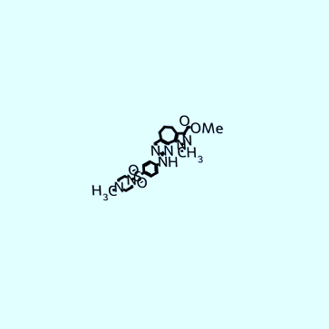 COC(=O)c1nn(C)c2c1CCCc1cnc(Nc3ccc(S(=O)(=O)N4CCN(C)CC4)cc3)nc1-2